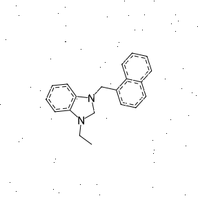 CCN1CN(Cc2cccc3ccccc23)c2ccccc21